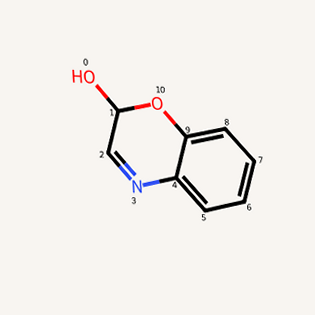 OC1C=Nc2ccccc2O1